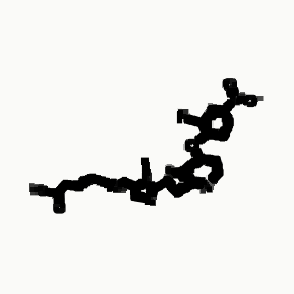 Cn1c(CNCCCC(=O)O)cnc1-c1cc2nccc(Oc3ccc([N+](=O)[O-])cc3F)c2s1